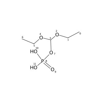 CCOC(OCC)OP(=O)(O)O